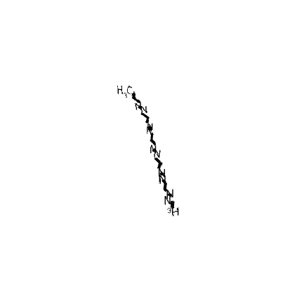 [3H]CCN=NCCN=NCCCN=NCCCN=NCCCN=NCCCC